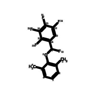 Cc1cccc(C)c1OC(F)c1cc(F)c(F)c(F)c1F